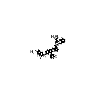 Cc1cnc(CN(C)C[C@H]2Cc3c(cc(Cc4cccnc4CN(CCCCN)C[C@H]4Cc5ccccc5CN4)cc3-c3ccnc(F)c3)CN2)c(C)c1